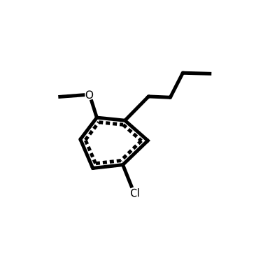 CCCCc1cc(Cl)ccc1OC